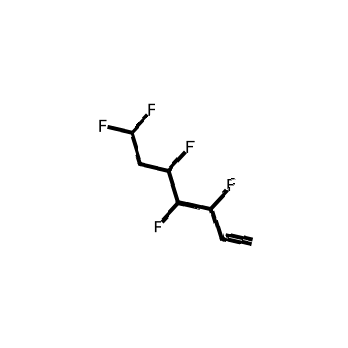 C=CC(F)C(F)C(F)CC(F)F